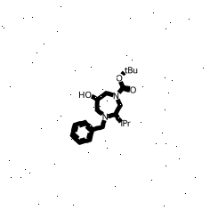 CC(C)C1CN(C(=O)OC(C)(C)C)CC(O)CN1Cc1ccccc1